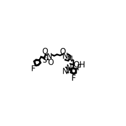 O=C(CCCCN1C(=O)SC(=Cc2ccc(F)cc2)C1=O)N1CCN(CC(O)(Cn2cncn2)c2ccc(F)cc2F)CC1